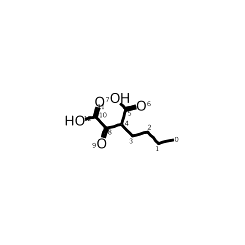 CCCCC(C(=O)O)C(=O)C(=O)O